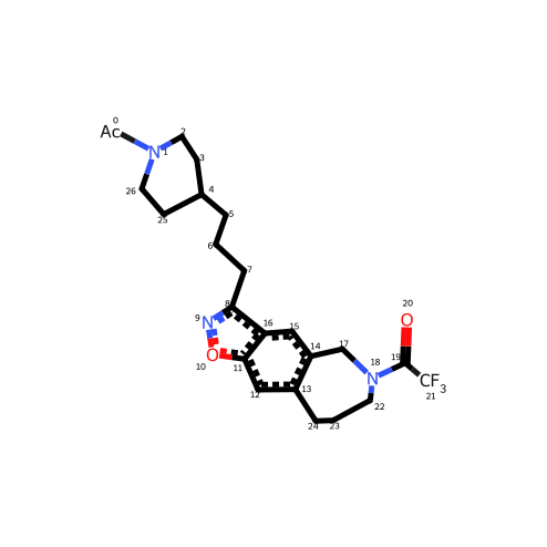 CC(=O)N1CCC(CCCc2noc3cc4c(cc23)CN(C(=O)C(F)(F)F)CCC4)CC1